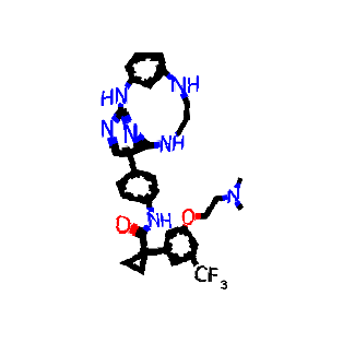 CN(C)CCOc1cc(C(F)(F)F)cc(C2(C(=O)Nc3ccc(-c4cnc5nc4NCCCNc4cccc(c4)N5)cc3)CC2)c1